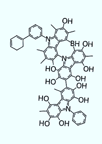 Cc1c(O)c(O)c2c(c1O)c1c(C)c(-c3c(O)c(O)c4c(c3O)c3c(O)c(C)c(O)c5c3n4-c3c(C)c(C)c(C)c4c3c3c(c(C)c(O)c(C)c3n4-c3cccc(C4=CC=CCC4)c3)B5)c(O)c(O)c1n2-c1ccccc1